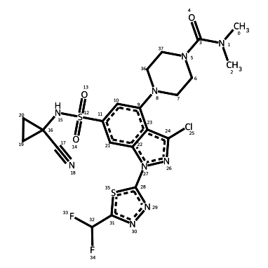 CN(C)C(=O)N1CCN(c2cc(S(=O)(=O)NC3(C#N)CC3)cc3c2c(Cl)nn3-c2nnc(C(F)F)s2)CC1